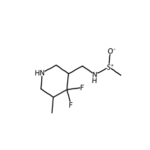 CC1CNCC(CN[S+](C)[O-])C1(F)F